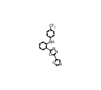 FC(F)(F)c1ccc(Nc2ccccc2-c2nnc(-c3cnco3)o2)cc1